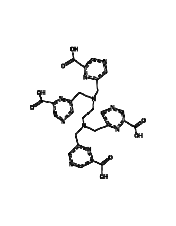 O=C(O)c1cncc(CN(CCN(Cc2cncc(C(=O)O)n2)Cc2cncc(C(=O)O)n2)Cc2cncc(C(=O)O)n2)n1